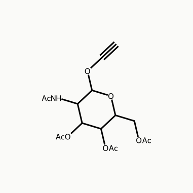 C#COC1OC(COC(C)=O)C(OC(C)=O)C(OC(C)=O)C1NC(C)=O